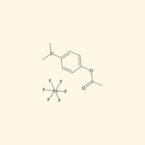 CC(=O)Oc1ccc([S+](C)C)cc1.F[As-](F)(F)(F)(F)F